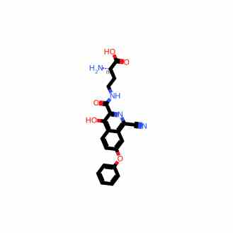 N#Cc1nc(C(=O)NCC[C@H](N)C(=O)O)c(O)c2ccc(Oc3ccccc3)cc12